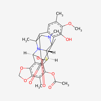 COc1c(C)cc2c(c1O)C1[C@@H]3[C@@H]4SCC(=O)C(=O)OC[C@@H](c5c6c(c(C)c(OC(C)=O)c54)OCO6)N3C(C)(C2)CN1C